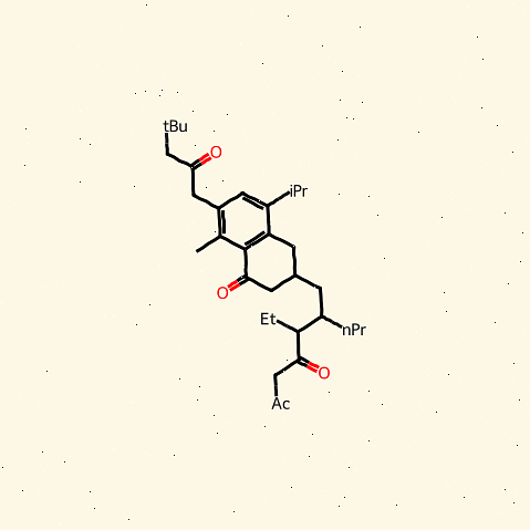 CCCC(CC1CC(=O)c2c(C)c(CC(=O)CC(C)(C)C)cc(C(C)C)c2C1)C(CC)C(=O)CC(C)=O